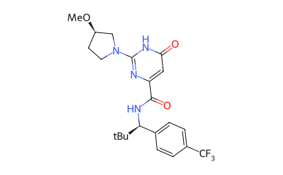 CO[C@@H]1CCN(c2nc(C(=O)N[C@@H](c3ccc(C(F)(F)F)cc3)C(C)(C)C)cc(=O)[nH]2)C1